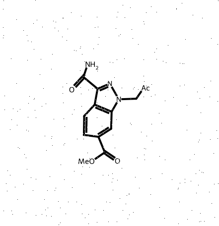 COC(=O)c1ccc2c(C(N)=O)nn(CC(C)=O)c2c1